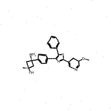 COC1C=NC=C(c2nc(-c3ccc([C@]4(N)C[C@](C)(O)C4)cc3)c(-c3ccccc3)s2)C1